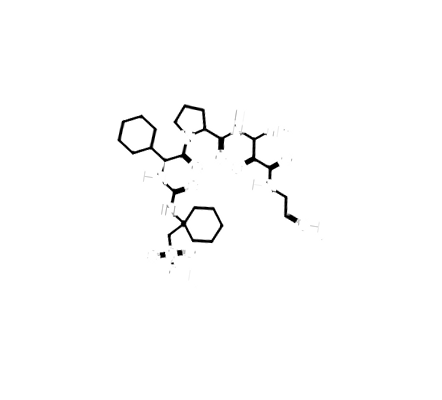 C=CCNC(=O)C(=O)C(CCC)NC(=O)C1CCCN1C(=O)[C@@H](NC(=O)NC1(CS(C)(=O)=O)CCCCC1)C1CCCCC1